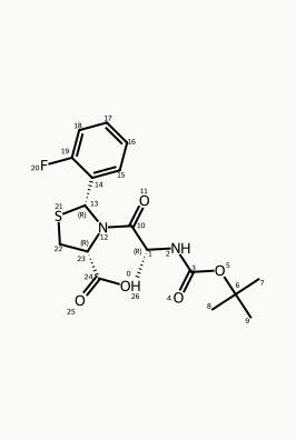 C[C@@H](NC(=O)OC(C)(C)C)C(=O)N1[C@@H](c2ccccc2F)SC[C@H]1C(=O)O